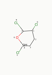 ClC1CC[SiH](Cl)OC1Cl